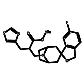 CC(C)(C)OC(=O)C(Cc1cscn1)CN1C2CCC1CC1(C2)OCc2ccc(F)cc21